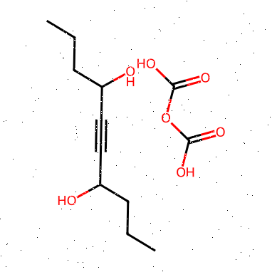 CCCC(O)C#CC(O)CCC.O=C(O)OC(=O)O